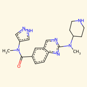 CN(C(=O)c1ccc2nc(N(C)C3CCNCC3)ncc2c1)c1cn[nH]c1